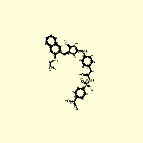 CCOc1cc2ccccc2cc1/C=C1/SC(Nc2ccc(CC(=O)NS(=O)(=O)c3ccc([N+](=O)[O-])cc3)cc2)=NC1=O